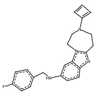 Fc1ccc(CNc2ccc3nc4n(c3c2)CCN(C2=CC=C2)CC4)cc1